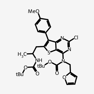 COc1ccc(-c2c(CC(C)NC(=O)OC(C)(C)C)sc3c(N(Cc4ccco4)C(=O)OC(C)(C)C)nc(Cl)nc23)cc1